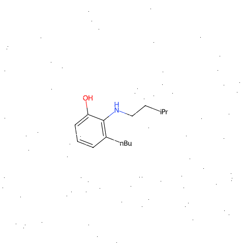 CCCCc1cccc(O)c1NCCC(C)C